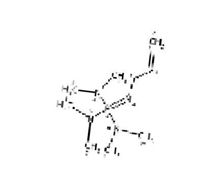 C=CCN=P(N(C)C)(N(C)C)N(C)C